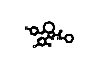 O=C(NN1CCCCC1)c1nn(-c2ccc(Cl)cc2Cl)c2c1CCCCC/C2=C\c1ccc(F)cc1